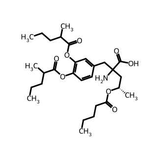 CCCCC(=O)O[C@@H](C)CC(N)(Cc1ccc(OC(=O)C(C)CCC)c(OC(=O)C(C)CCC)c1)C(=O)O